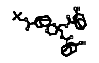 CC(C)(C)COC(=O)C12CC3CC(C1)C1(OCCC(COC(=O)C45CC6CC(CC(O)(C6)C4)C5)(COC(=O)C45CC6CC(CC(O)(C6)C4)C5)O1)C(C3)C2